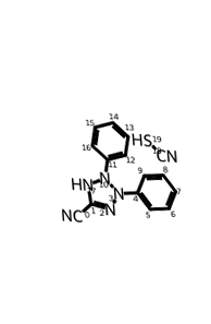 N#CC1=NN(c2ccccc2)N(c2ccccc2)N1.N#CS